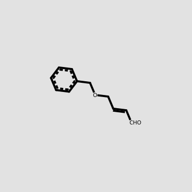 O=CC=CCOCc1ccccc1